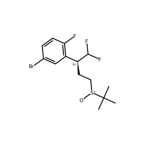 CC(C)(C)[S+]([O-])CC[C@@H](c1cc(Br)ccc1F)C(F)F